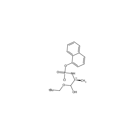 C[C@H](NP(=O)(Cl)Oc1cccc2ccccc12)C(O)OCC(C)(C)C